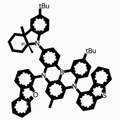 Cc1cc2c3c(c1)N(c1cccc4sc5ccccc5c14)c1ccc(C(C)(C)C)cc1B3c1ccc(N3c4ccc(C(C)(C)C)cc4C4(C)CCCC[C@@]34C)cc1N2c1cccc2c1oc1ccccc12